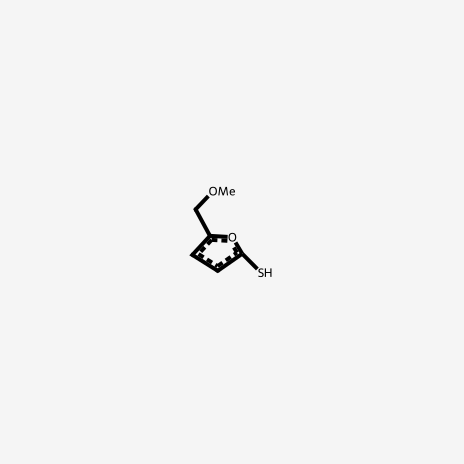 COCc1ccc(S)o1